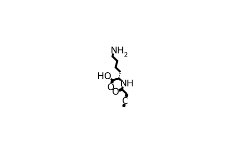 C=C=CC(=O)N[C@@H](CCCCN)C(=O)O